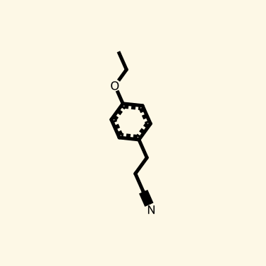 CCOc1ccc(CCC#N)cc1